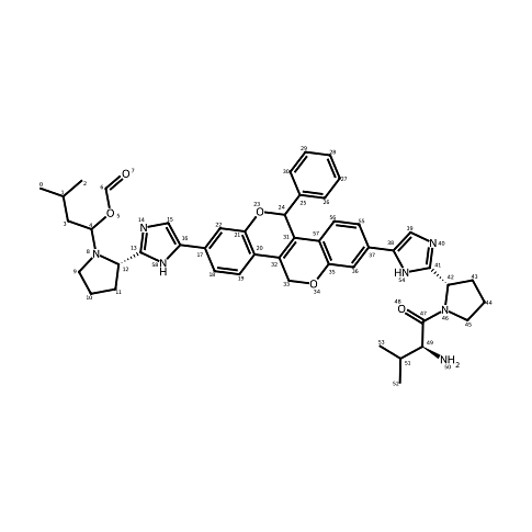 CC(C)CC(OC=O)N1CCC[C@H]1c1ncc(-c2ccc3c(c2)OC(c2ccccc2)C2=C3COc3cc(-c4cnc([C@@H]5CCCN5C(=O)[C@@H](N)C(C)C)[nH]4)ccc32)[nH]1